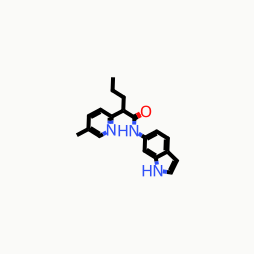 CCCC(C(=O)Nc1ccc2cc[nH]c2c1)c1ccc(C)cn1